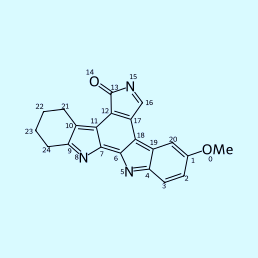 COc1ccc2nc3c4nc5c(c4c4c(=O)ncc4c3c2c1)CCCC5